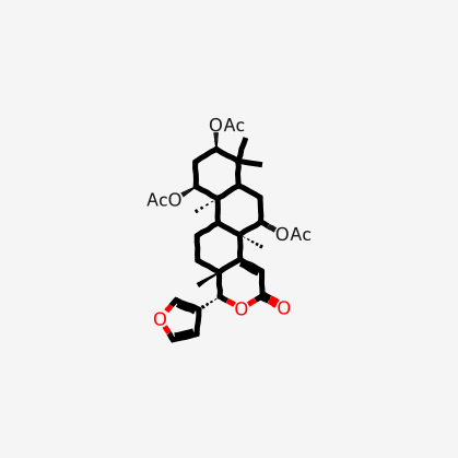 CC(=O)OC1CC2C(C)(C)[C@H](OC(C)=O)C[C@H](OC(C)=O)[C@]2(C)C2CC[C@]3(C)C(=CC(=O)O[C@@H]3c3ccoc3)[C@]12C